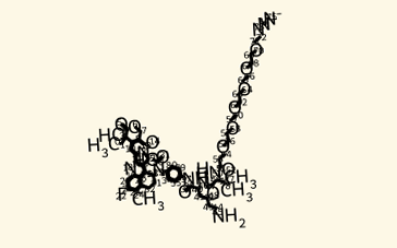 CC[C@@]1(O)C(=O)OCc2c1cc1n(c2=O)Cc2c-1nc1cc(F)c(C)c3c1c2[C@@H](N(C(=O)O)c1ccc(NC(=O)C(CCCCN)NC(=O)C(NC(=O)CCOCCOCCOCCOCCOCCOCCN=[N+]=[N-])C(C)C)cc1)CC3